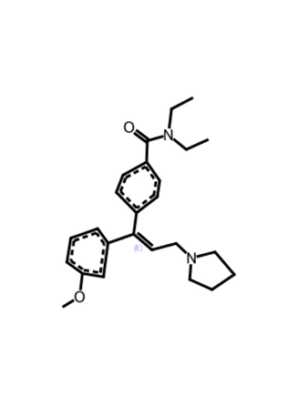 CCN(CC)C(=O)c1ccc(/C(=C\CN2CCCC2)c2cccc(OC)c2)cc1